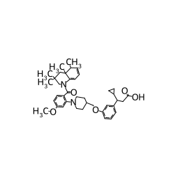 COc1ccc(C(=O)N2CC(C)(C)CC3(C)C2=CC=CC3C)c(N2CCC(COc3cccc(C(CC(=O)O)C4CC4)c3)CC2)c1